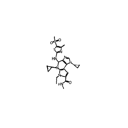 CCn1c(C(=O)NC)cc2c1N(C1CC1)C(Nc1nc(C)c(S(C)(=O)=O)s1)c1ncn(C3CC3)c1-2